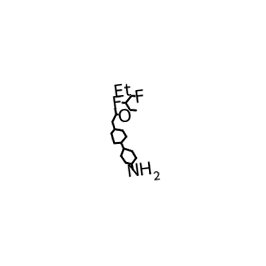 CCC(F)C(F)C(C)OC(C)CC1CCC(C2CCC(N)CC2)CC1